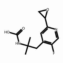 CC(C)(Cc1cc(C2CO2)ncc1F)NC(=O)O